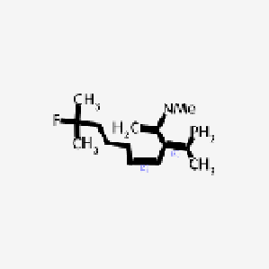 C=C(NC)C(/C=C\CCCC(C)(C)F)=C(/C)P